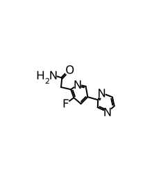 NC(=O)Cc1ncc(-c2cnccn2)cc1F